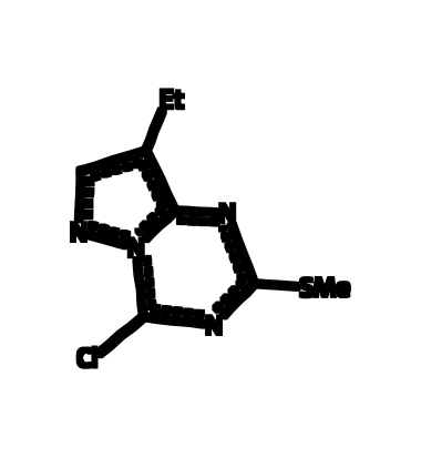 CCc1cnn2c(Cl)nc(SC)nc12